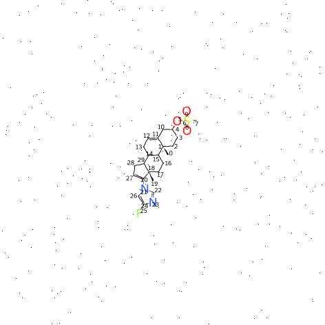 C[C@]12CC[C@H](OS(C)(=O)=O)CC1=CCC1C2CC[C@]2(C)C(n3cnc(F)c3)=CCC12